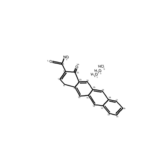 Cl.O.O.O=NC(=O)C1=CCc2cc3cc4ccccc4cc3cc2C1=O